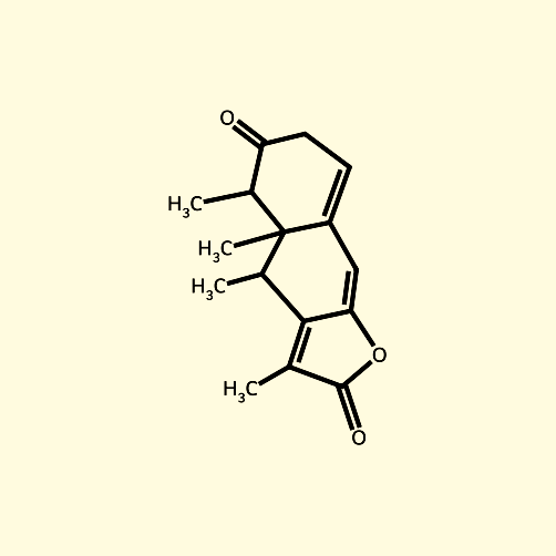 CC1=C2C(=CC3=CCC(=O)C(C)C3(C)C2C)OC1=O